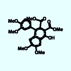 COC(=O)c1c(C(=O)OC)c(-c2ccc(OC)c(OC)c2)c2cc(OC)c(OC)cc2c1O